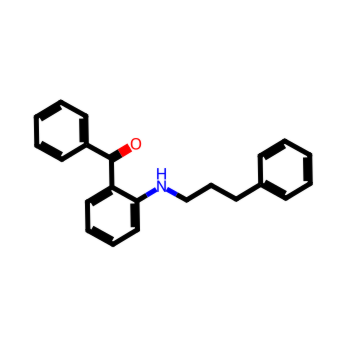 O=C(c1ccccc1)c1ccccc1NCCCc1ccccc1